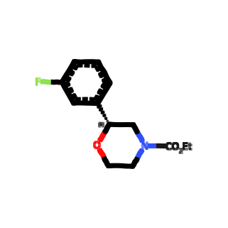 CCOC(=O)N1CCO[C@H](c2cccc(F)c2)C1